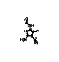 Cc1c(NC=O)sc(N)c1C#N